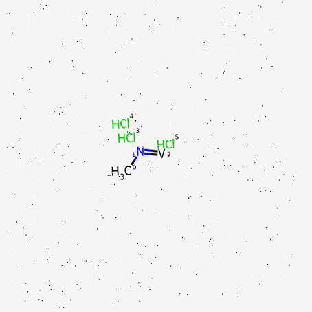 C[N]=[V].Cl.Cl.Cl